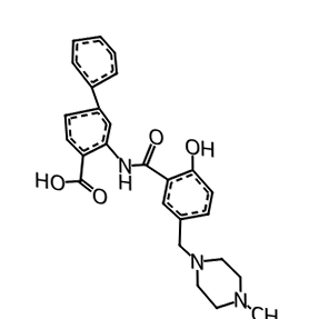 CN1CCN(Cc2ccc(O)c(C(=O)Nc3cc(-c4ccccc4)ccc3C(=O)O)c2)CC1